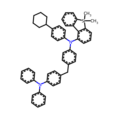 C[Si]1(C)c2ccccc2-c2c(N(c3ccc(Cc4ccc(N(c5ccccc5)c5ccccc5)cc4)cc3)c3ccc(C4CCCCC4)cc3)cccc21